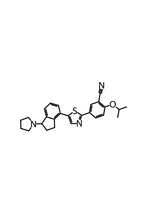 CC(C)Oc1ccc(-c2ncc(-c3cccc4c3CCC4N3CCCC3)s2)cc1C#N